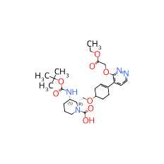 CCOC(=O)COc1nnccc1C1=CCC(OC[C@H]2[C@@H](NC(=O)OC(C)(C)C)CCCN2C(=O)O)CC1